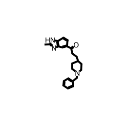 Cc1nc2cc(C(=O)CCC3CCN(Cc4ccccc4)CC3)ccc2[nH]1